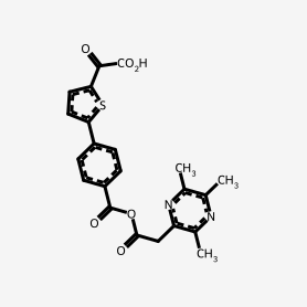 Cc1nc(C)c(CC(=O)OC(=O)c2ccc(-c3ccc(C(=O)C(=O)O)s3)cc2)nc1C